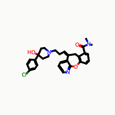 CN(C)C(=O)c1cccc2c1C/C(=C/CCN1CCC(O)(c3ccc(Cl)cc3)CC1)c1cccnc1O2